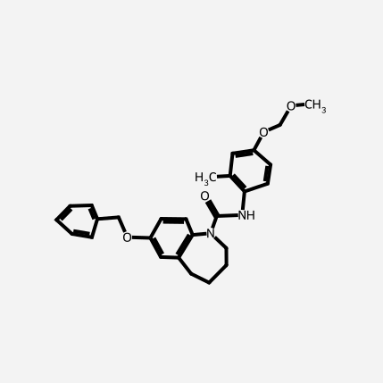 COCOc1ccc(NC(=O)N2CCCCc3cc(OCc4ccccc4)ccc32)c(C)c1